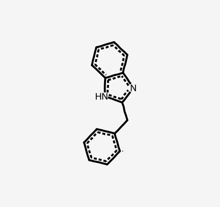 [c]1ccccc1Cc1nc2ccccc2[nH]1